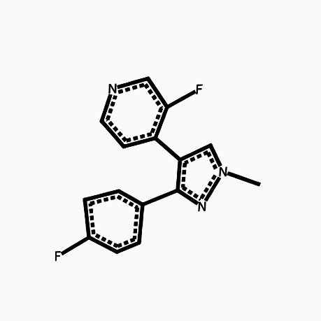 Cn1cc(-c2ccncc2F)c(-c2ccc(F)cc2)n1